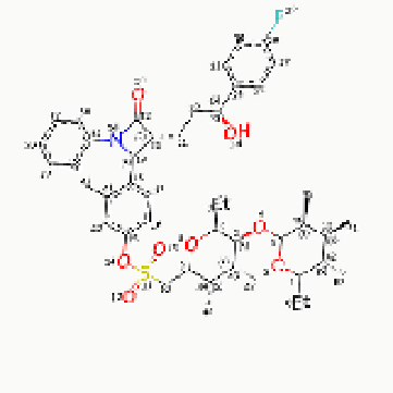 CCC1OC(O[C@@H]2C(CC)OC(CS(=O)(=O)Oc3ccc([C@@H]4[C@@H](CC[C@H](O)c5ccc(F)cc5)C(=O)N4c4ccccc4)c(C)c3)[C@@H](C)[C@H]2C)[C@@H](C)[C@@H](C)[C@@H]1C